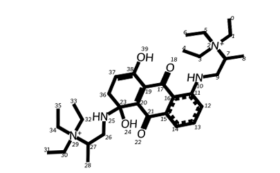 CC[N+](CC)(CC)C(C)CNc1cccc2c1C(=O)C1=C(C2=O)C(O)(NCC(C)[N+](CC)(CC)CC)CC=C1O